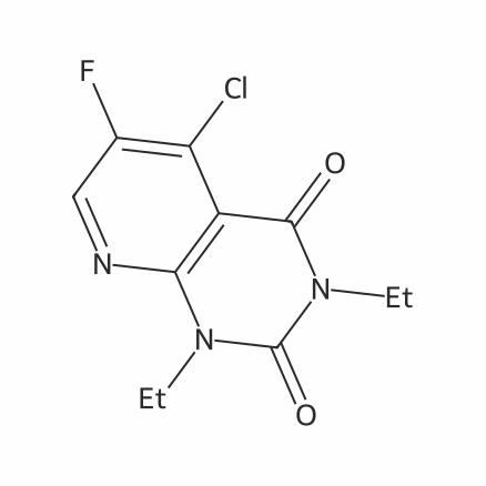 CCn1c(=O)c2c(Cl)c(F)cnc2n(CC)c1=O